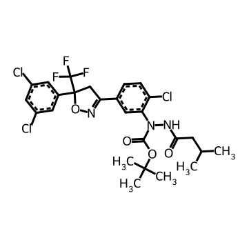 CC(C)CC(=O)NN(C(=O)OC(C)(C)C)c1cc(C2=NOC(c3cc(Cl)cc(Cl)c3)(C(F)(F)F)C2)ccc1Cl